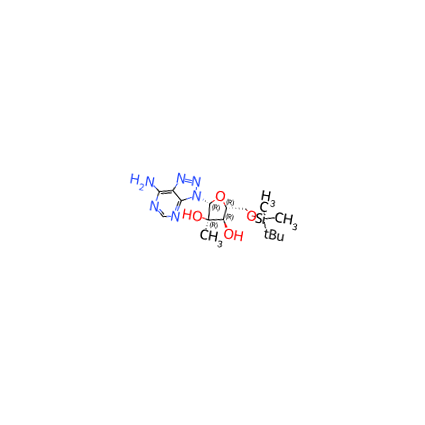 CC(C)(C)[Si](C)(C)OC[C@H]1O[C@@H](n2nnc3c(N)ncnc32)[C@](C)(O)[C@@H]1O